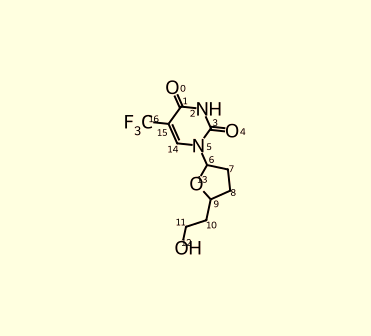 O=c1[nH]c(=O)n(C2CCC(CCO)O2)cc1C(F)(F)F